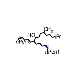 CCCCC/C=C\CCCC(CCC/C=C\CCCCC)C(O)CCC(C)CCCC(C)C